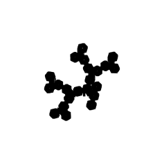 C1=CC(n2c3ccccc3c3cc(-c4ccc5c(c4)c4cc(-c6ccc7c(c6)c6ccccc6n7-c6ccccc6)ccc4n5-c4ccc(-c5cc(-c6ccc(-n7c8ccc(-c9ccc%10c(c9)c9ccccc9n%10-c9ccccc9)cc8c8cc(-c9ccc%10c(c9)c9ccccc9n%10-c9ccccc9)ccc87)cc6)nc(-c6cc(-c7ccccc7)ccc6-c6ccccc6)n5)cc4)ccc32)=CCC1